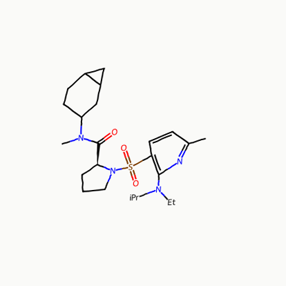 CCN(c1nc(C)ccc1S(=O)(=O)N1CCC[C@H]1C(=O)N(C)C1CCC2CC2C1)C(C)C